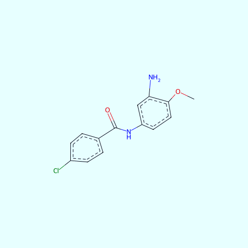 COc1ccc(NC(=O)c2ccc(Cl)cc2)cc1N